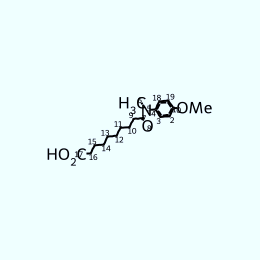 COc1ccc(N(C)C(=O)CCCCCCCCC(=O)O)cc1